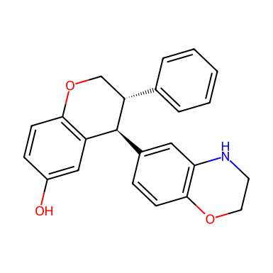 Oc1ccc2c(c1)[C@H](c1ccc3c(c1)NCCO3)[C@@H](c1ccccc1)CO2